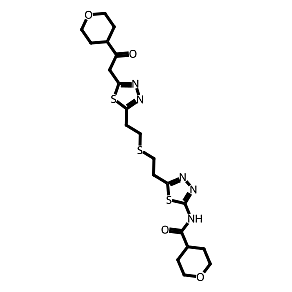 O=C(Cc1nnc(CCSCCc2nnc(NC(=O)C3CCOCC3)s2)s1)C1CCOCC1